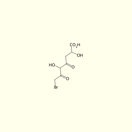 O=C(O)C(O)CC(=O)C(O)C(=O)CBr